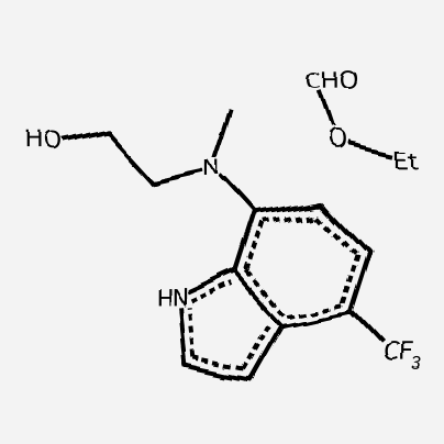 CCOC=O.CN(CCO)c1ccc(C(F)(F)F)c2cc[nH]c12